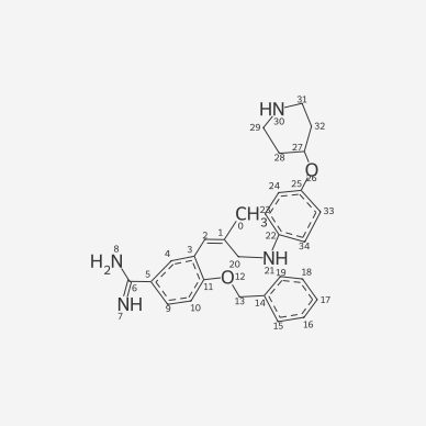 CC(=Cc1cc(C(=N)N)ccc1OCc1ccccc1)CNc1ccc(OC2CCNCC2)cc1